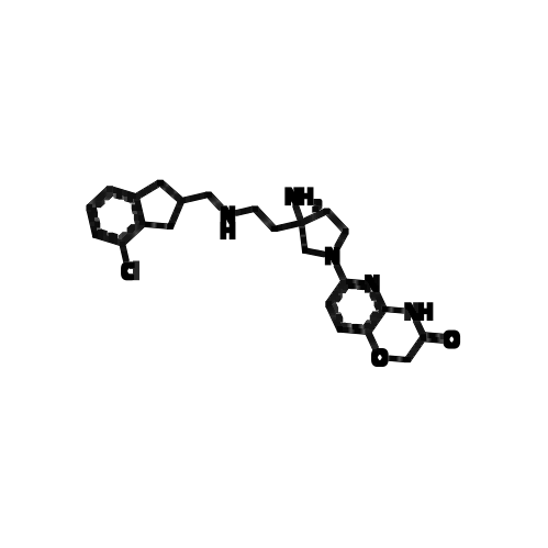 NC1(CCNCC2Cc3cccc(Cl)c3C2)CCN(c2ccc3c(n2)NC(=O)CO3)C1